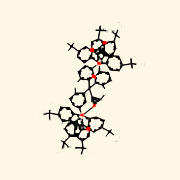 CC(C)(C)c1ccc2c(c1)c1cc(C(C)(C)C)ccc1n2-c1ccc2c(c1)C1(c3cc(-n4c5ccc(C(C)(C)C)cc5c5cc(C(C)(C)C)ccc54)ccc3O2)c2cc(-n3c4ccc(C(C)(C)C)cc4c4cc(C(C)(C)C)ccc43)ccc2Oc2ccc(-n3c4ccc(C(C)(C)C)cc4c4cc(C(C)(C)C)ccc43)cc21